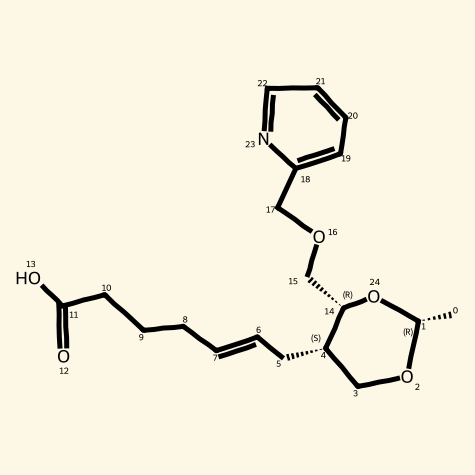 C[C@@H]1OC[C@H](CC=CCCCC(=O)O)[C@H](COCc2ccccn2)O1